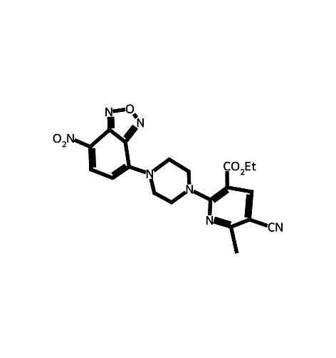 CCOC(=O)c1cc(C#N)c(C)nc1N1CCN(c2ccc([N+](=O)[O-])c3nonc23)CC1